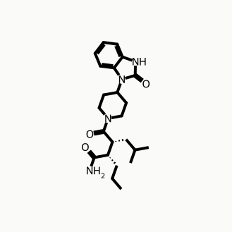 CCC[C@H](C(N)=O)[C@@H](CC(C)C)C(=O)N1CCC(n2c(=O)[nH]c3ccccc32)CC1